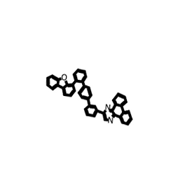 c1cc(-c2ccc(-c3ccccc3-c3cccc4c3oc3ccccc34)cc2)cc(-c2cnc3c4ccccc4c4ccccc4c3n2)c1